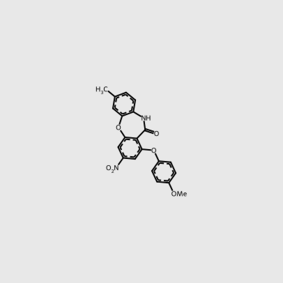 COc1ccc(Oc2cc([N+](=O)[O-])cc3c2C(=O)Nc2ccc(C)cc2O3)cc1